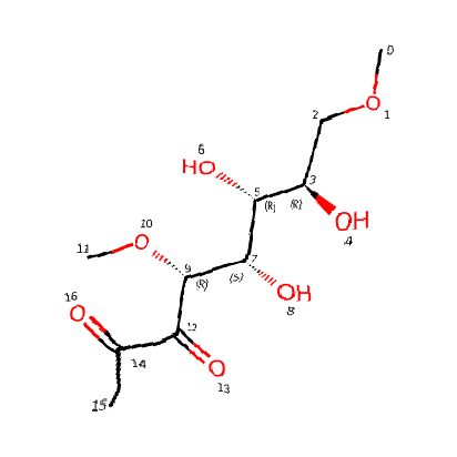 COC[C@@H](O)[C@@H](O)[C@H](O)[C@@H](OC)C(=O)C(C)=O